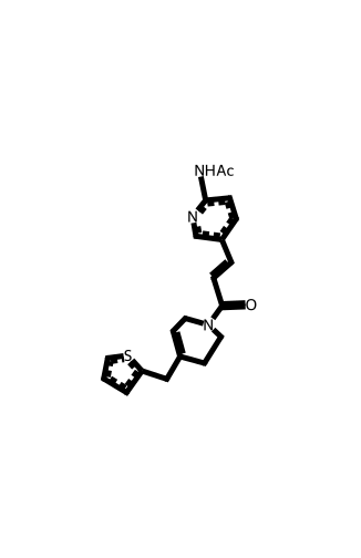 CC(=O)Nc1ccc(C=CC(=O)N2CC=C(Cc3cccs3)CC2)cn1